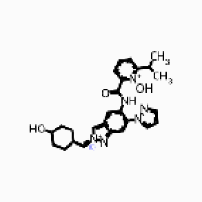 CC(C)c1cccc(C(=O)Nc2cc3c(cc2-n2cccn2)=N/[N+](=C/C2CCC(O)CC2)C=3)[n+]1O